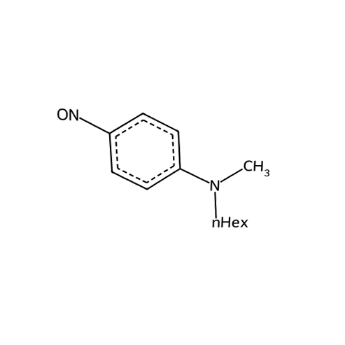 CCCCCCN(C)c1ccc(N=O)cc1